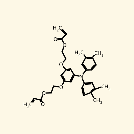 C=CC(=O)OCCOc1cc(OCCOC(=O)C=C)cc(N(c2ccc(C)c(C)c2)c2ccc(C)c(C)c2)c1